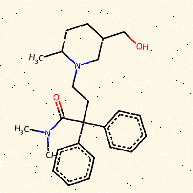 CC1CCC(CO)CN1CCC(C(=O)N(C)C)(c1ccccc1)c1ccccc1